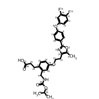 Cc1oc(-c2ccc(Oc3ccc(F)c(F)c3)cc2)nc1CCOc1ccc(CCC(=O)O)c(CNC(=O)OC(C)C)c1